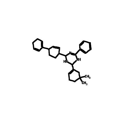 CC1(C)CCC=C(C2NC(c3ccccc3)=NC(C3C=CC(C4=CCCC=C4)CC3)N2)C1